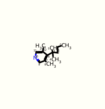 CCCC(C)(C)c1c(C)cncc1C